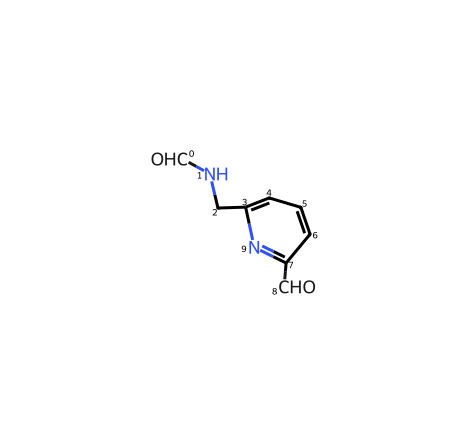 O=CNCc1cccc(C=O)n1